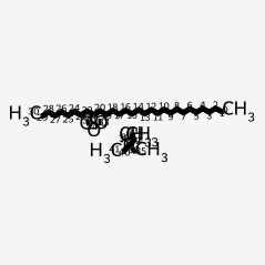 CCCCCCCCCCCCCCCCCCCCCC(CCCCCCCCC)S(=O)(=O)[O-].CC[N+](CC)(CC)CC